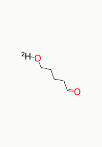 [2H]OCCCCC=O